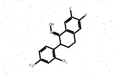 O/N=C1\c2cc(F)c(F)cc2CCC1c1ccc(C(F)(F)F)cc1C(F)(F)F